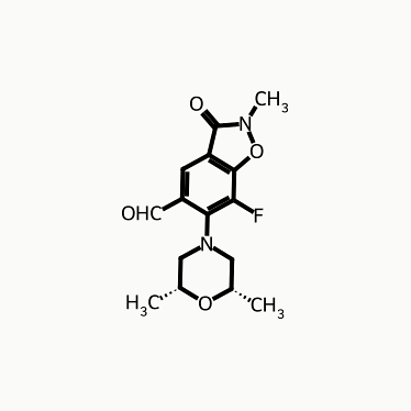 C[C@@H]1CN(c2c(C=O)cc3c(=O)n(C)oc3c2F)C[C@H](C)O1